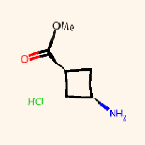 COC(=O)[C@H]1C[C@@H](N)C1.Cl